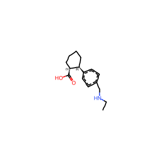 CCNCc1ccc([C@@H]2CCCC[C@@H]2C(=O)O)cc1